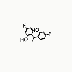 CC(c1ccc(F)cc1O)c1ccc(F)cc1O